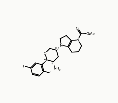 COC(=O)N1CCCC2=C1CCN2[C@H]1CO[C@H](c2cc(F)ccc2F)[C@@H](N)C1